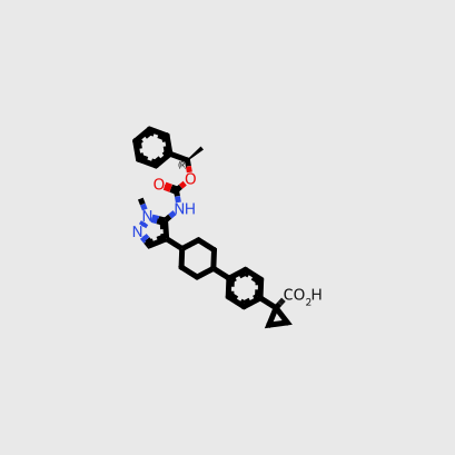 C[C@@H](OC(=O)Nc1c(C2CCC(c3ccc(C4(C(=O)O)CC4)cc3)CC2)cnn1C)c1ccccc1